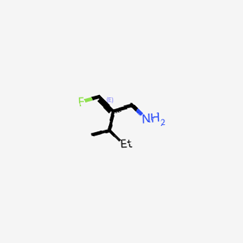 CCC(C)/C(=C\F)CN